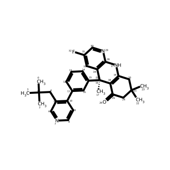 CC(C)(C)Cc1cnccc1-c1cccc([C@]2(C)C3=C(CC(C)(C)CC3=O)Nc3ncc(F)cc32)c1